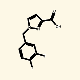 O=C(O)c1ccn(Cc2ccc(F)c(F)c2)n1